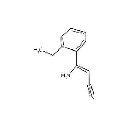 CCc1ccccc1/C(N)=C/C#N